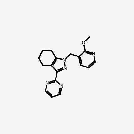 COc1ncccc1Cn1nc(-c2ncccn2)c2c1CCCC2